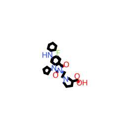 O=C(O)C1CCCN(CCn2c(=O)c3cc(F)c(NC4CCCCC4)cc3n(C3CCCC3)c2=O)C1